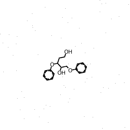 OCCC(Oc1ccccc1)C(O)COc1ccccc1